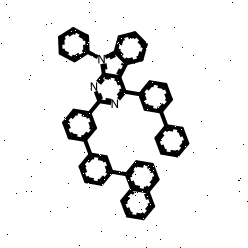 c1ccc(-c2cccc(-c3nc(-c4cccc(-c5cccc(-c6cccc7ccccc67)c5)c4)nc4c3c3ccccc3n4-c3ccccc3)c2)cc1